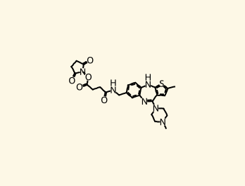 Cc1cc2c(s1)Nc1ccc(CNC(=O)CCC(=O)ON3C(=O)CCC3=O)cc1N=C2N1CCN(C)CC1